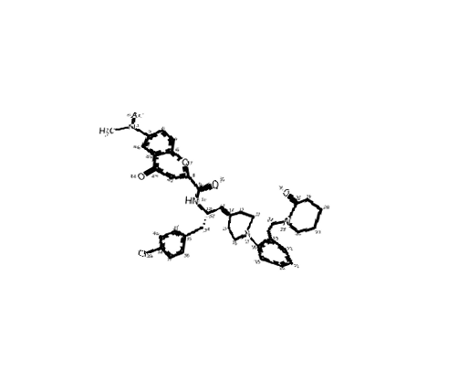 CC(=O)N(C)c1ccc2oc(C(=O)N[C@H](C=C3CCN(c4ccccc4CN4CCCCC4=O)CC3)Cc3ccc(Cl)cc3)cc(=O)c2c1